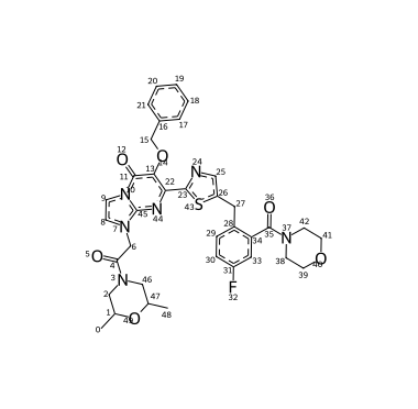 CC1CN(C(=O)Cn2ccn3c(=O)c(OCc4ccccc4)c(-c4ncc(Cc5ccc(F)cc5C(=O)N5CCOCC5)s4)nc23)CC(C)O1